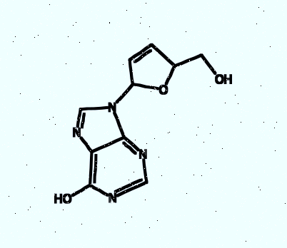 OCC1C=CC(n2cnc3c(O)ncnc32)O1